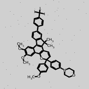 COc1ccc(C2(c3ccc(N4CCOCC4)cc3)C=Cc3c4c(c5cc(OC)c(OC)cc5c3O2)-c2ccc(-c3ccc(C(I)(I)I)cc3)cc2C4(C)C)cc1